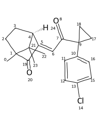 CC12CC[C@@H](/C(=C\C(=O)C3(c4ccc(Cl)cc4)CC3)C1=O)C2(C)C